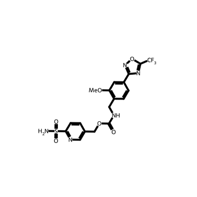 COc1cc(-c2noc(C(F)(F)F)n2)ccc1CNC(=O)OCc1ccc(S(N)(=O)=O)nc1